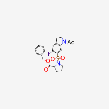 CC(=O)N1CCc2cc(I)c(S(=O)(=O)N3CCCC3C(=O)OCc3ccccc3)cc21